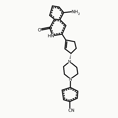 N#Cc1ccc(N2CCN([C@@H]3C=C(c4cc5c(N)cccc5c(=O)[nH]4)CC3)CC2)cc1